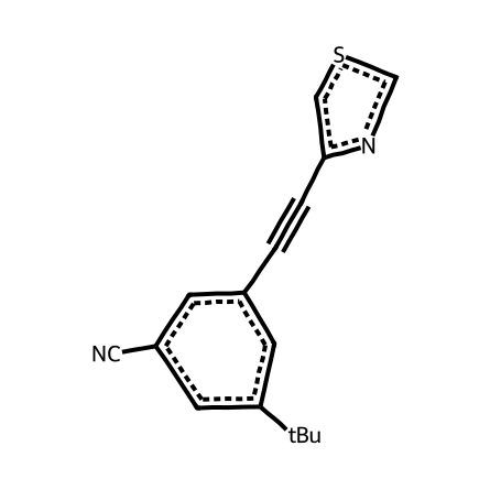 CC(C)(C)c1cc(C#N)cc(C#Cc2cscn2)c1